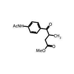 COC(=O)CC(C)C(=O)c1ccc(NC(C)=O)cc1